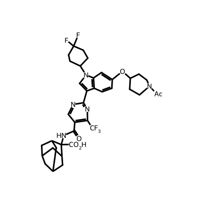 CC(=O)N1CCC(Oc2ccc3c(-c4ncc(C(=O)NC5(C(=O)O)C6CC7CC(C6)CC5C7)c(C(F)(F)F)n4)cn(C4CCC(F)(F)CC4)c3c2)CC1